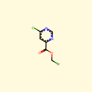 O=C(OCBr)c1cc(Cl)ncn1